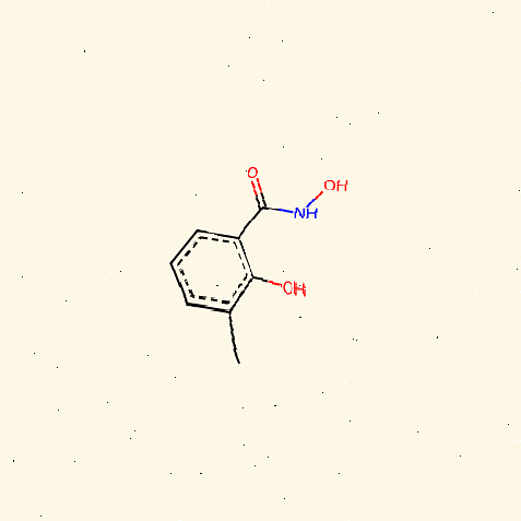 Cc1cccc(C(=O)NO)c1O